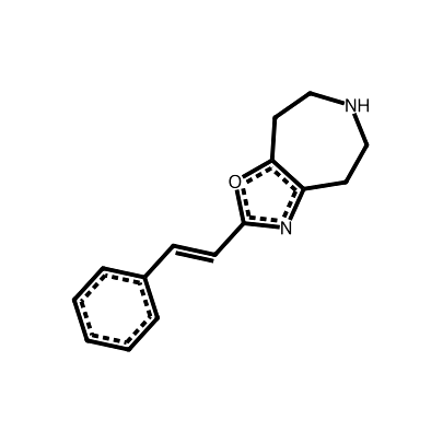 C(=Cc1nc2c(o1)CCNCC2)c1ccccc1